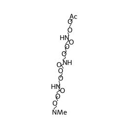 CNCCOCCOCC(=O)NCCOCCOCC(=O)NCCOCCOCC(=O)NCCOCCOCC(C)=O